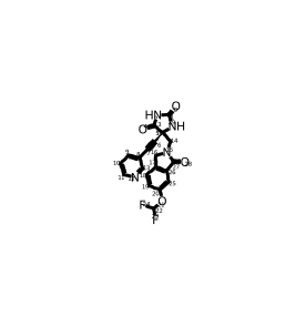 O=C1NC(=O)[C@@](C#Cc2cccnc2)(CN2Cc3ccc(OC(F)F)cc3C2=O)N1